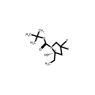 CC[C@]1(S)CC(F)(F)CN1C(=O)OC(C)(C)C